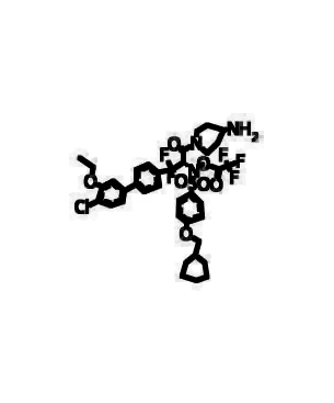 CCOc1cc(-c2ccc(C(F)(F)[C@H](C(=O)N3CCC(N)CC3)N(OC(=O)C(F)(F)F)S(=O)(=O)c3ccc(OCC4CCCCC4)cc3)cc2)ccc1Cl